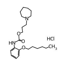 CCCCCCOc1ccccc1NC(=O)OCCCN1CCCCCC1.Cl